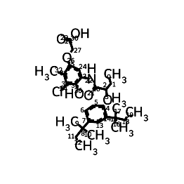 CCC(Oc1ccc(C(C)(C)CC)cc1C(C)(C)CC)C(=O)Nc1cc(OCC(=O)O)c(C)c(Cl)c1O